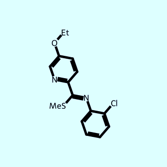 CCOc1ccc(/C(=N/c2ccccc2Cl)SC)nc1